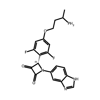 CC(P)CCOc1cc(F)c([C@H]2C(=O)C(=O)N2c2ccc3[nH]cnc3c2)c(F)c1